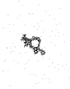 C=C[C@@H]1C[C@]1(NC(=O)[C@@H]1C[C@@H]2CN1C(=O)[C@H](C(C)(C)C)NC(=O)O[C@@H]1CCC[C@H]1CC/C=C/Cc1c(nc3ccccc3c1OCCN1CCCCC1)O2)C(=O)NS(=O)(=O)C1CC1